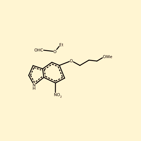 CCOC=O.COCCCOc1cc([N+](=O)[O-])c2[nH]ccc2c1